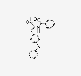 O=C(O)C(=Cc1ccc(Sc2ccccc2)cc1)NC(=O)c1ccccc1